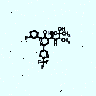 C[C@H](NC(=O)c1cc(-c2ccc(C(F)(F)F)nc2)nn(-c2cccc(F)c2)c1=O)C(C)(C)O